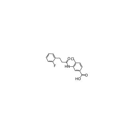 O=C(CCc1ccccc1F)Nc1cc(C(=O)O)ccc1Cl